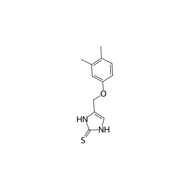 Cc1ccc(OCc2c[nH]c(=S)[nH]2)cc1C